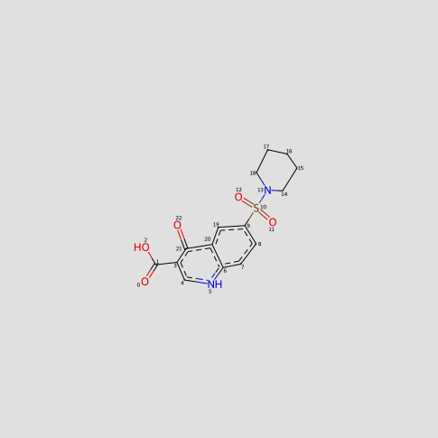 O=C(O)c1c[nH]c2ccc(S(=O)(=O)N3CCCCC3)cc2c1=O